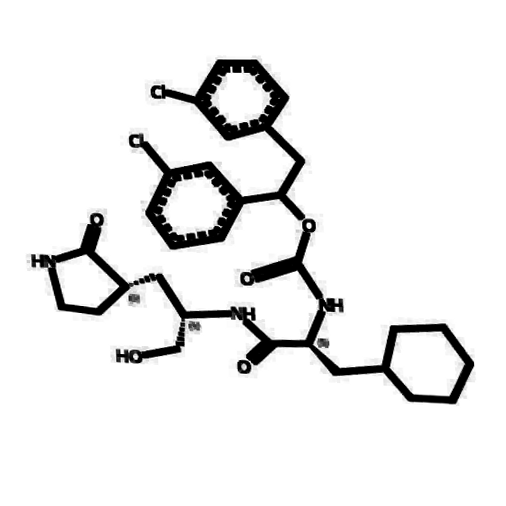 O=C(N[C@@H](CC1CCCCC1)C(=O)N[C@H](CO)C[C@@H]1CCNC1=O)OC(Cc1cccc(Cl)c1)c1cccc(Cl)c1